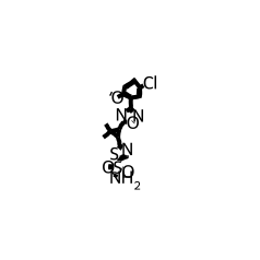 COc1ccc(Cl)cc1-c1noc(C2C(c3ncc(S(N)(=O)=O)s3)C2(C)C)n1